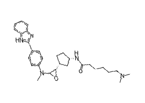 CN(C)CCCCCC(=O)N[C@H]1CC[C@@H](C2OC2N(C)c2ccc(-c3nc4ccccc4[nH]3)cc2)C1